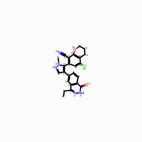 CCc1n[nH]c(=O)c2ccc(-c3cnn(C)c3-c3cc(Cl)c4c(c3C#N)OCCC4)cc12